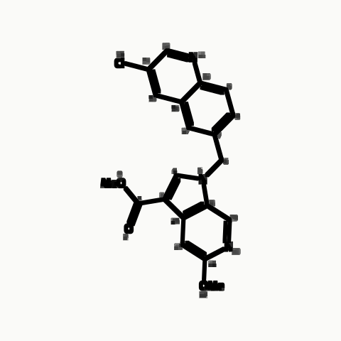 COC(=O)c1cn(Cc2ccc3ncc(Cl)cc3c2)c2cnc(OC)cc12